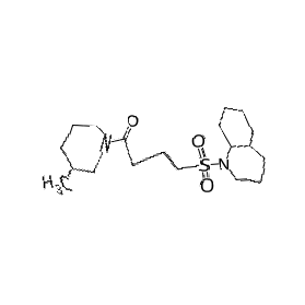 CC1CCCN(C(=O)CCCS(=O)(=O)N2CCCC3CCCCC32)C1